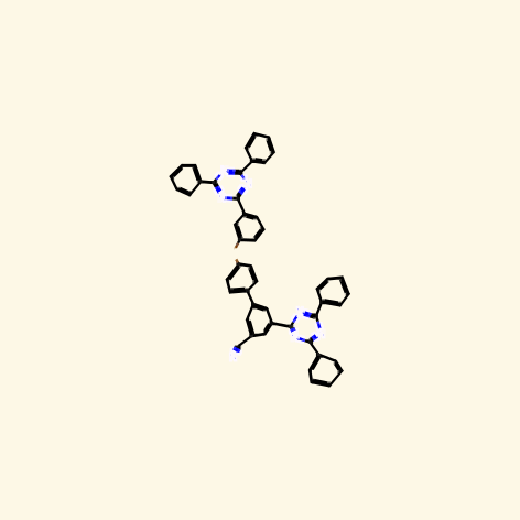 N#Cc1cc(-c2ccc(Sc3cccc(-c4nc(-c5ccccc5)nc(-c5ccccc5)n4)c3)cc2)cc(-c2nc(-c3ccccc3)nc(-c3ccccc3)n2)c1